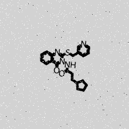 O=C(CCC1CCCC1)Nn1c(SCc2cccnc2)nc2ccccc2c1=O